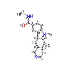 CCCNC(=O)c1ccc2c(c1)c1cc3cnccc3c(C)c1n2C